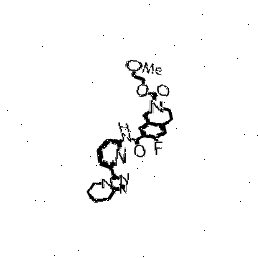 COCCOC(=O)N1CCc2cc(F)c(C(=O)Nc3cccc(-c4nnc5n4CCCC5)n3)cc2C1